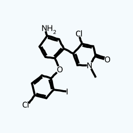 Cn1cc(-c2cc(N)ccc2Oc2ccc(Cl)cc2I)c(Cl)cc1=O